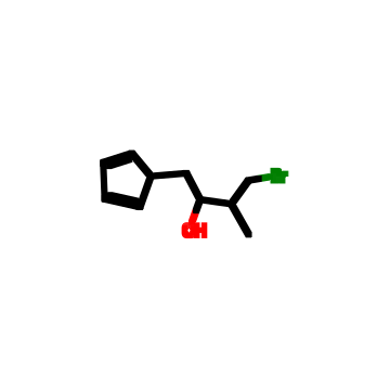 CC(CBr)C(O)CC1C=CC=C1